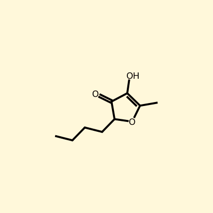 CCCCC1OC(C)=C(O)C1=O